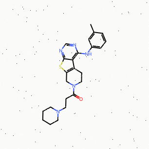 Cc1cccc(Nc2ncnc3sc4c(c23)CCN(C(=O)CCN2CCCCC2)C4)c1